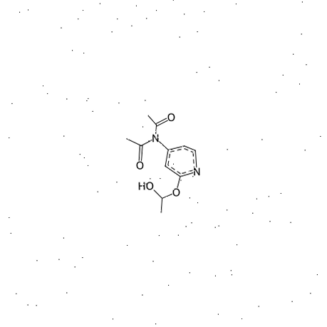 CC(=O)N(C(C)=O)c1ccnc(OC(C)O)c1